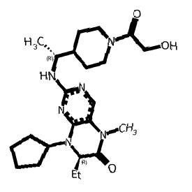 CC[C@@H]1C(=O)N(C)c2cnc(N[C@H](C)C3CCN(C(=O)CO)CC3)nc2N1C1CCCC1